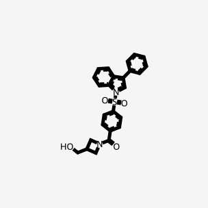 O=C(c1ccc(S(=O)(=O)n2cc(-c3ccccc3)c3ccccc32)cc1)N1CC(CO)C1